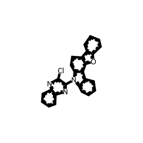 Clc1nc2ccccc2nc1-n1c2ccccc2c2c3oc4ccccc4c3ccc21